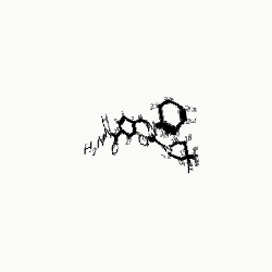 NNC(=O)c1ccc(CN(C(=O)N2CCC(F)(F)CC2)c2ccccc2)cc1